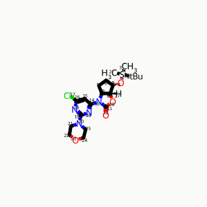 CC(C)(C)[Si](C)(C)O[C@@H]1CCC2[C@H]1OC(=O)N2c1cc(Cl)nc(N2CCOCC2)n1